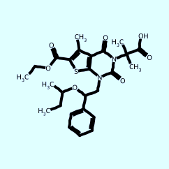 CCOC(=O)c1sc2c(c1C)c(=O)n(C(C)(C)C(=O)O)c(=O)n2CC(OC(C)CC)c1ccccc1